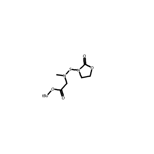 CN(CC(=O)OC(C)(C)C)SN1CCOC1=O